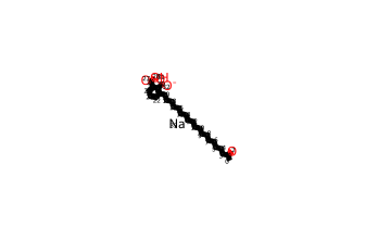 CC(=O)CCCCCCCCCCCCCCCCCCc1cccc(C(=O)O)c1C(=O)[O-].[Na+]